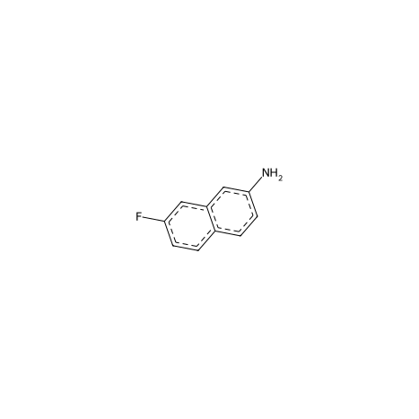 Nc1ccc2ccc(F)cc2c1